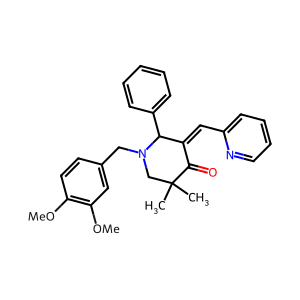 COc1ccc(CN2CC(C)(C)C(=O)C(=Cc3ccccn3)C2c2ccccc2)cc1OC